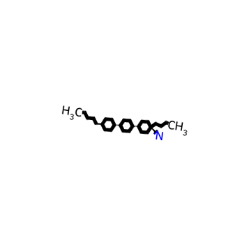 CCCCC[C@H]1CC[C@H](C2CCC([C@H]3CC[C@@](C#N)(CCCC)CC3)CC2)CC1